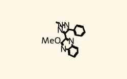 COc1nc2ccccc2nc1-c1nn(C)nc1-c1ccccc1